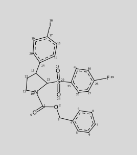 O=C(OCc1ccccc1)N1CCC(c2ccc(I)cc2)C1S(=O)(=O)c1ccc(F)cc1